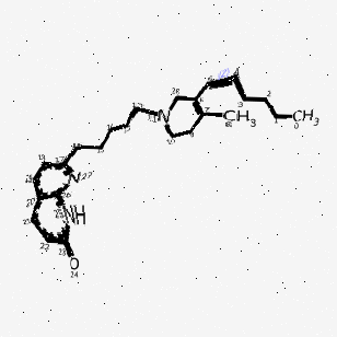 CCCC/C=C\C1=C(C)CCN(CCCCCc2ccc3ccc(=O)[nH]c3n2)C1